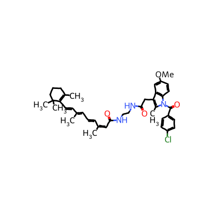 COc1ccc2c(c1)c(CC(=O)NCCNC(=O)\C=C(C)/C=C/C=C(C)/C=C/C1=C(C)CCCC1(C)C)c(C)n2C(=O)c1ccc(Cl)cc1